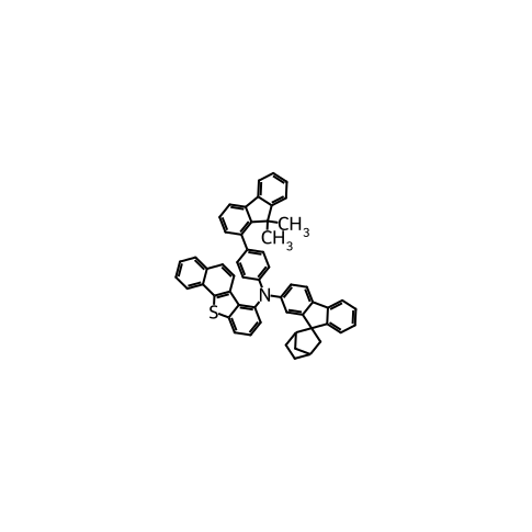 CC1(C)c2ccccc2-c2cccc(-c3ccc(N(c4ccc5c(c4)C4(CC6CCC4C6)c4ccccc4-5)c4cccc5sc6c7ccccc7ccc6c45)cc3)c21